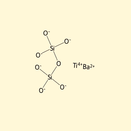 [Ba+2].[O-][Si]([O-])([O-])O[Si]([O-])([O-])[O-].[Ti+4]